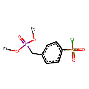 CCOP(=O)(Cc1ccc(S(=O)(=O)Cl)cc1)OCC